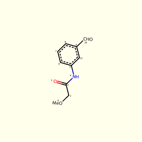 COCC(=O)Nc1cccc(C=O)c1